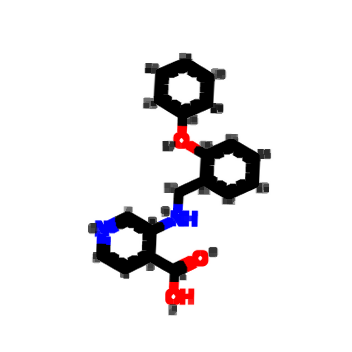 O=C(O)c1ccncc1NCc1ccccc1Oc1ccccc1